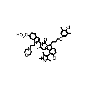 Cc1cc(OCCCc2c3n(c4c(-c5c(C)nn(C)c5C)c(Cl)ccc24)C[C@@H](C)N(c2cc4ccc(C(=O)O)cc4n2CCN2CCOCC2)C3=O)cc(C)c1Cl